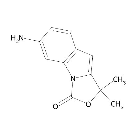 CC1(C)OC(=O)n2c1cc1ccc(N)cc12